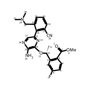 COC(=O)c1ccc(F)cc1[C@@H](C)Oc1nc(-c2c(C#N)cccc2CN(C)C)cnc1N